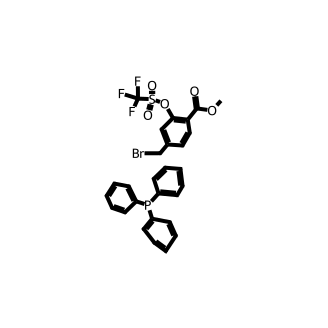 COC(=O)c1ccc(CBr)cc1OS(=O)(=O)C(F)(F)F.c1ccc(P(c2ccccc2)c2ccccc2)cc1